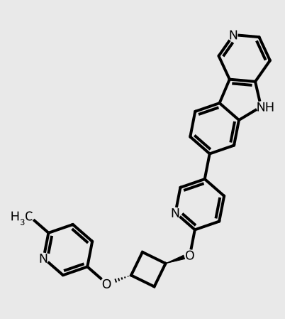 Cc1ccc(O[C@H]2C[C@H](Oc3ccc(-c4ccc5c(c4)[nH]c4ccncc45)cn3)C2)cn1